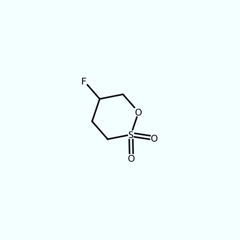 O=S1(=O)CCC(F)CO1